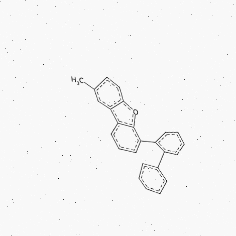 Cc1ccc2oc3c(-c4ccccc4-c4ccccc4)cccc3c2c1